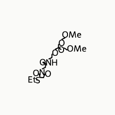 CCSC1CC(=O)N(CCC(=O)NCCCOCC(COCCOC)OCCOC)C1=O